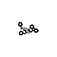 C[C@H](NC[C@@H](O)[C@H](Cc1ccccc1)NC(=O)CC1c2ccccc2-c2ccccc21)c1ccccc1